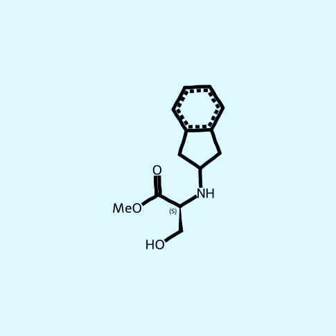 COC(=O)[C@H](CO)NC1Cc2ccccc2C1